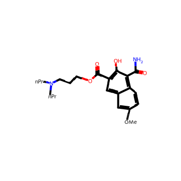 CCCN(CCC)CCCOC(=O)c1cc2cc(OC)ccc2c(C(N)=O)c1O